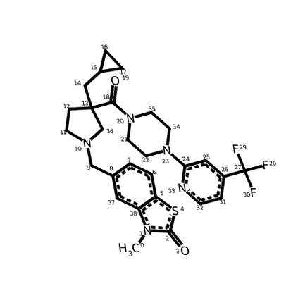 Cn1c(=O)sc2ccc(CN3CCC(CC4CC4)(C(=O)N4CCN(c5cc(C(F)(F)F)ccn5)CC4)C3)cc21